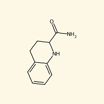 NC(=O)C1CCc2ccccc2N1